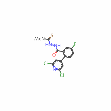 CNC(=S)NNC(=O)c1cc(F)ccc1-c1cc(Cl)nc(Cl)c1